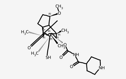 CO[C@@H]1CCC23CC[C@@H](C)[C@](C)(C12)[C@H](OC(=O)NC(=O)C1CCNCC1)C[C@@](C)(S)C(=O)[C@@H]3C